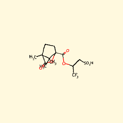 CC12CCC(C(=O)OC(CS(=O)(=O)O)C(F)(F)F)(OC1=O)C2(C)C